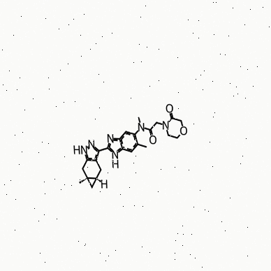 Cc1cc2[nH]c(-c3n[nH]c4c3C[C@@H]3C[C@]3(C)C4)nc2cc1N(C)C(=O)CN1CCOCC1=O